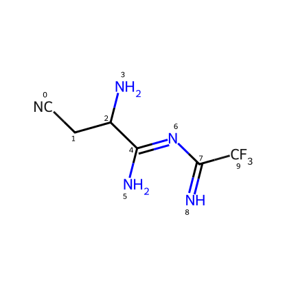 N#CCC(N)/C(N)=N/C(=N)C(F)(F)F